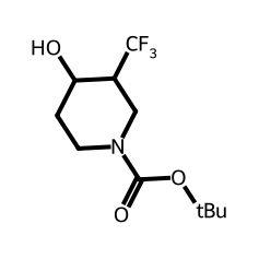 CC(C)(C)OC(=O)N1CCC(O)C(C(F)(F)F)C1